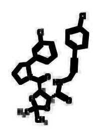 CC1(C)O[C@@H](C(=O)NCC#Cc2ccc(Cl)cc2)[C@H](C(=O)N2CCCC2c2cccc(Cl)c2)O1